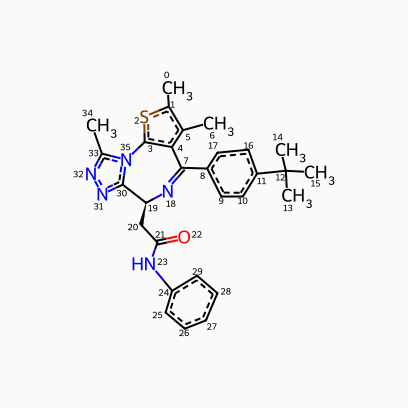 Cc1sc2c(c1C)C(c1ccc(C(C)(C)C)cc1)=N[C@@H](CC(=O)Nc1ccccc1)c1nnc(C)n1-2